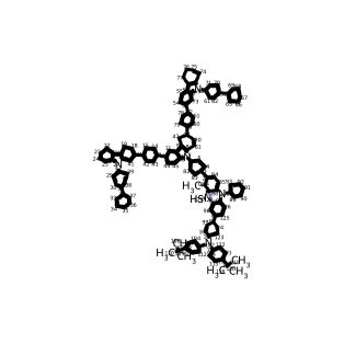 C[C@@H]1C(c2ccc(-n3c4c(c5cc(-c6ccc(-c7ccc8c9ccccc9n(-c9ccc(-c%10ccccc%10)cc9)c8c7)cc6)ccc53)CC(c3ccc(-c5ccc6c7c(n(-c8ccc(-c9ccccc9)cc8)c6c5)C=CCC7)cc3)C=C4)cc2)=CC=C(N(c2ccccc2)c2ccc(C3C=CC(N(c4ccc(C(C)(C)C)cc4)c4ccc(C(C)(C)C)cc4)=CC3)cc2)/C1=N/S